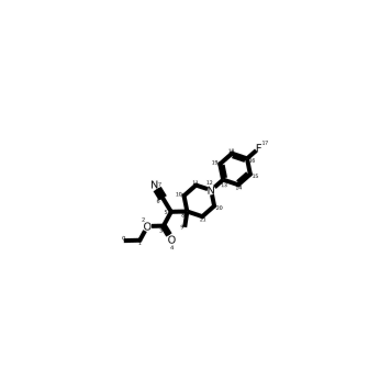 CCOC(=O)C(C#N)C1(C)CCN(c2ccc(F)cc2)CC1